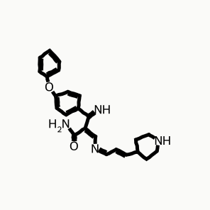 N=C(/C(=C/N=C\C=C\C1CCNCC1)C(N)=O)c1ccc(Oc2ccccc2)cc1